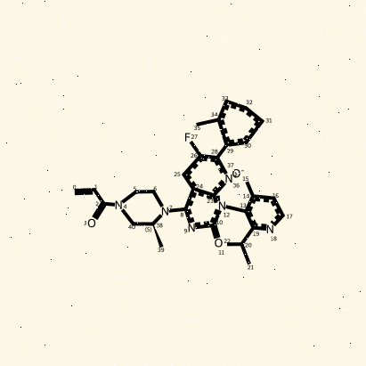 C=CC(=O)N1CCN(c2nc(=O)n(-c3c(C)ccnc3C(C)C)c3c2cc(F)c(-c2ccccc2C)[n+]3[O-])[C@@H](C)C1